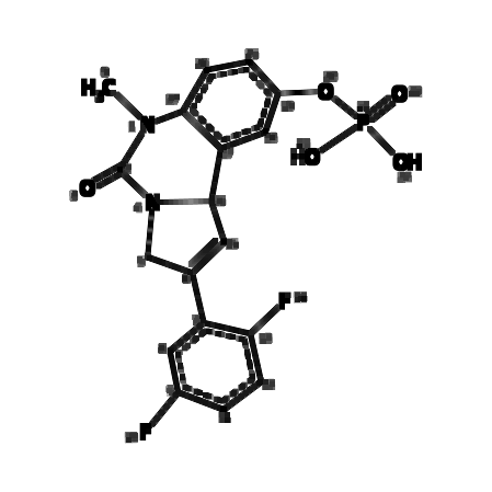 CN1C(=O)N2CC(c3cc(F)ccc3F)=CC2c2cc(OP(=O)(O)O)ccc21